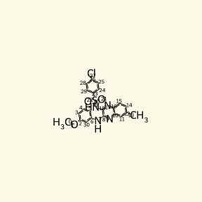 COc1cccc(Nc2nc3cc(C)ccc3nc2NS(=O)(=O)c2ccc(Cl)cc2)c1